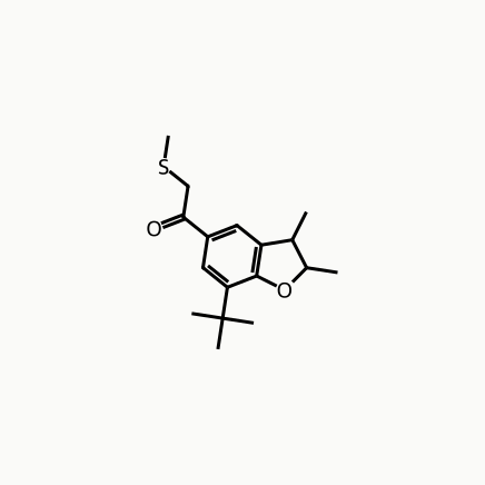 CSCC(=O)c1cc2c(c(C(C)(C)C)c1)OC(C)C2C